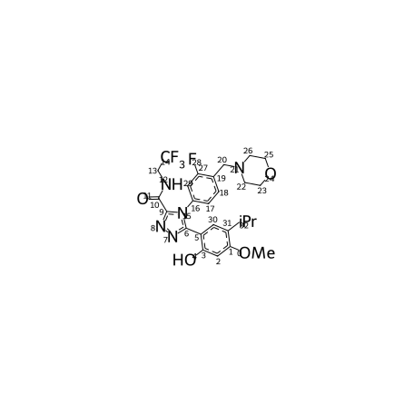 COc1cc(O)c(-c2nnc(C(=O)NCC(F)(F)F)n2-c2ccc(CN3CCOCC3)c(F)c2)cc1C(C)C